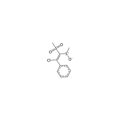 C[S+]([O-])/C(=C(/Cl)c1ccccc1)S(C)(=O)=O